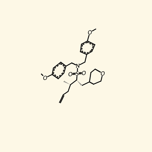 C=CC[C@H](C)[C@@H](CC1CCOCC1)S(=O)(=O)N(Cc1ccc(OC)cc1)Cc1ccc(OC)cc1